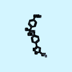 COc1ccc(S(C)(=O)=Nc2ccc(-c3cc(C(F)(F)F)on3)cc2)cc1